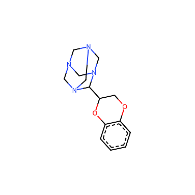 c1ccc2c(c1)OCC(C1N3CN4CN(C3)CN1C4)O2